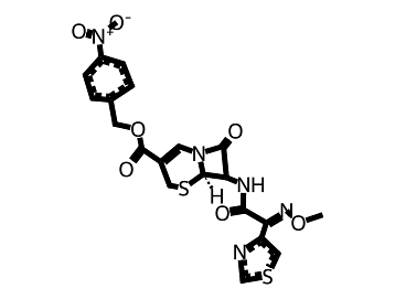 CON=C(C(=O)NC1C(=O)N2C=C(C(=O)OCc3ccc([N+](=O)[O-])cc3)CS[C@H]12)c1cscn1